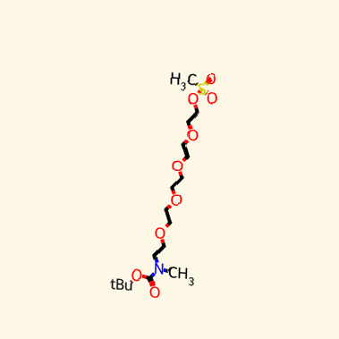 CN(CCOCCOCCOCCOCCOS(C)(=O)=O)C(=O)OC(C)(C)C